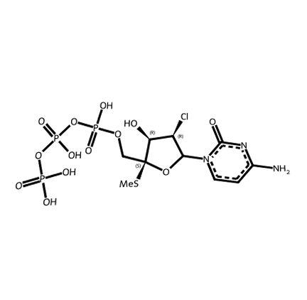 CS[C@]1(COP(=O)(O)OP(=O)(O)OP(=O)(O)O)OC(n2ccc(N)nc2=O)[C@H](Cl)[C@@H]1O